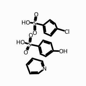 O=S(=O)(O)c1ccc(Cl)cc1.O=S(=O)(O)c1ccc(O)cc1.c1ccncc1